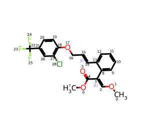 CO/C=C(/C(=O)OC)c1ccccc1/C=C/COc1ccc(C(F)(F)F)cc1Cl